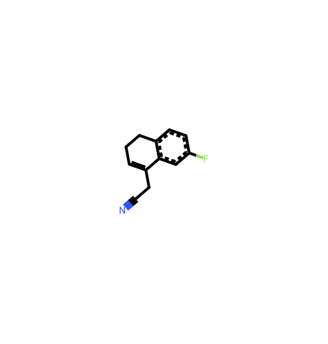 N#CCC1=CCCc2ccc(F)cc21